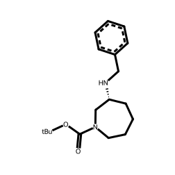 CC(C)(C)OC(=O)N1CCCC[C@@H](NCc2ccccc2)C1